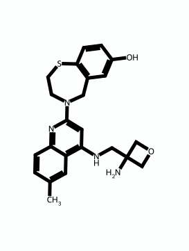 Cc1ccc2nc(N3CCSc4ccc(O)cc4C3)cc(NCC3(N)COC3)c2c1